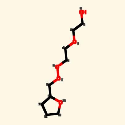 OCCOCCOOCC1CCCO1